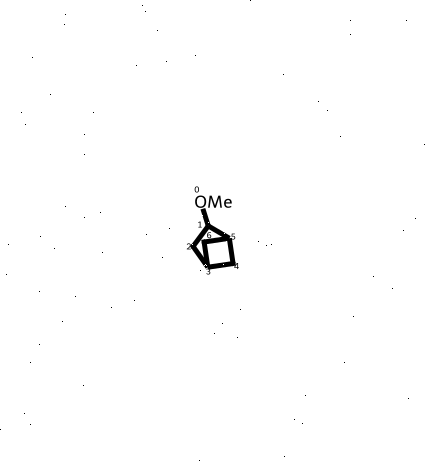 COC1CC2CC1C2